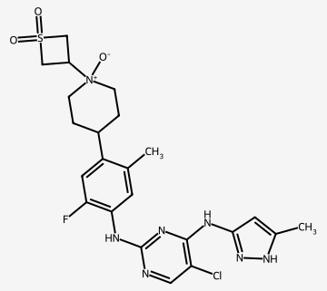 Cc1cc(Nc2nc(Nc3cc(C)c(C4CC[N+]([O-])(C5CS(=O)(=O)C5)CC4)cc3F)ncc2Cl)n[nH]1